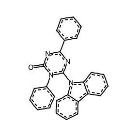 O=c1nc(-c2ccccc2)nc(-n2c3ccccc3c3ccccc32)n1-c1ccccc1